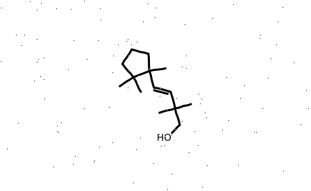 CC(C)(/C=C/C1(C)CCCC1(C)C)CO